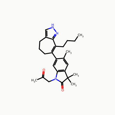 CCCCC1=C(c2cc3c(cc2C)C(C)(C)C(=O)N3CC(C)=O)CCCc2c[nH]nc21